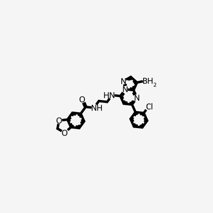 Bc1cnn2c(NCCNC(=O)c3ccc4c(c3)OCO4)cc(-c3ccccc3Cl)nc12